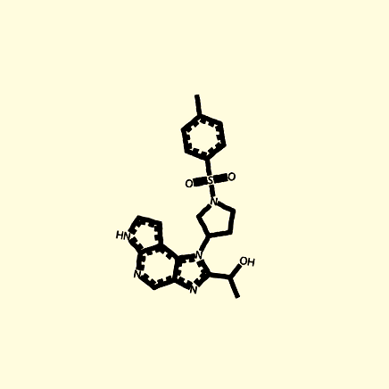 Cc1ccc(S(=O)(=O)N2CCC(n3c(C(C)O)nc4cnc5[nH]ccc5c43)C2)cc1